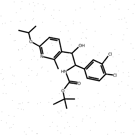 Cc1nc(OC(C)C)ccc1C(O)C(NC(=O)OC(C)(C)C)c1ccc(Cl)c(Cl)c1